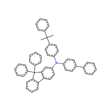 CC(C)(c1ccccc1)c1ccc(N(c2ccc(-c3ccccc3)cc2)c2ccc3c(c2)C(c2ccccc2)(c2ccccc2)c2ccccc2-3)cc1